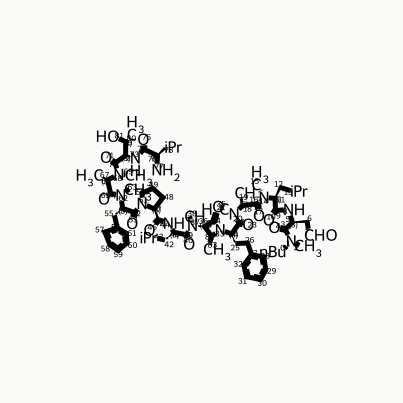 CCCCN(C)C(=O)[C@H](CC=O)NC(=O)[C@H](CC(C)C)N(C)C(=O)[C@H](C)N(C)C(=O)[C@H](CCc1ccccc1)N1C(=O)[C@@H](N(C)C(=O)[C@H](CC(C)C)NC(=O)[C@@H]2CCCN2C(=O)[C@H](Cc2ccccc2)N(C)C(=O)[C@H](C)N(C)C(=O)[C@@H](NC(=O)[C@H](N)C(C)C)[C@@H](C)O)C1C